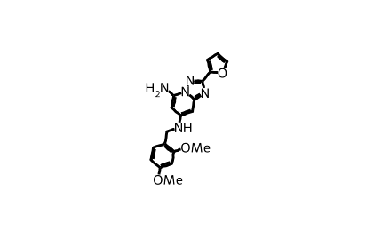 COc1ccc(CNc2cc(N)n3nc(-c4ccco4)nc3c2)c(OC)c1